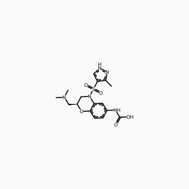 Cc1n[nH]cc1S(=O)(=O)N1C[C@H](CN(C)C)Oc2ccc(NC(=O)O)cc21